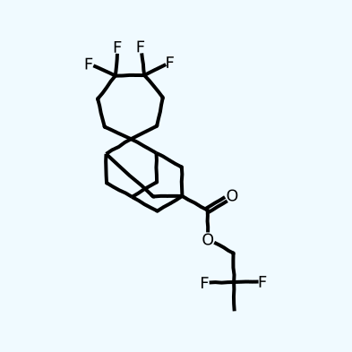 CC(F)(F)COC(=O)C12CC3CC(C1)C1(CCC(F)(F)C(F)(F)CC1)C(C3)C2